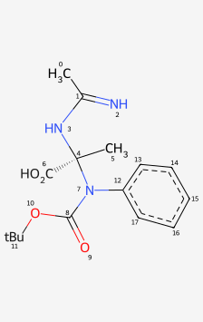 CC(=N)N[C@](C)(C(=O)O)N(C(=O)OC(C)(C)C)c1ccccc1